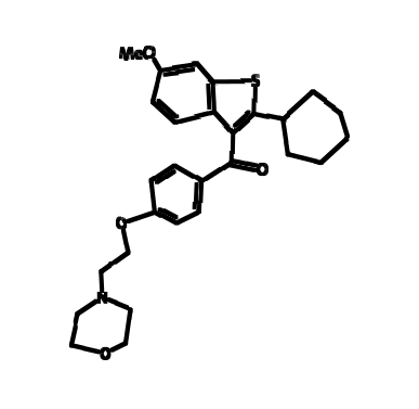 COc1ccc2c(C(=O)c3ccc(OCCN4CCOCC4)cc3)c(C3CCCCC3)sc2c1